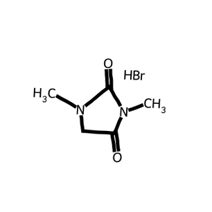 Br.CN1CC(=O)N(C)C1=O